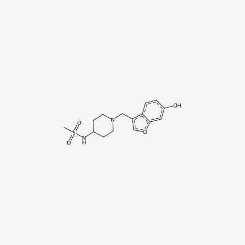 CS(=O)(=O)NC1CCN(Cc2coc3cc(O)ccc23)CC1